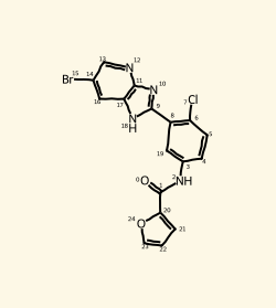 O=C(Nc1ccc(Cl)c(-c2nc3ncc(Br)cc3[nH]2)c1)c1ccco1